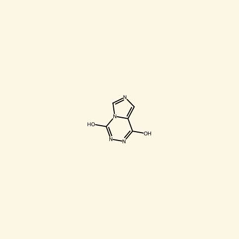 Oc1nnc(O)n2cncc12